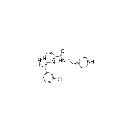 O=C(NCCN1CCNCC1)c1ccn2ncc(-c3cccc(Cl)c3)c2n1